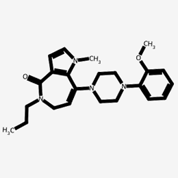 CCCN1CC=C(N2CCN(c3ccccc3OC)CC2)c2c(ccn2C)C1=O